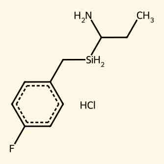 CCC(N)[SiH2]Cc1ccc(F)cc1.Cl